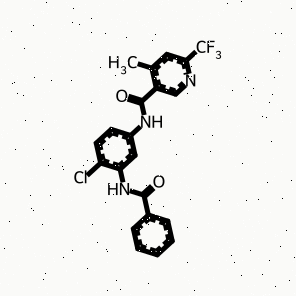 Cc1cc(C(F)(F)F)ncc1C(=O)Nc1ccc(Cl)c(NC(=O)c2ccccc2)c1